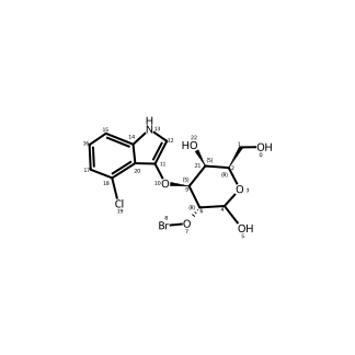 OC[C@H]1OC(O)[C@H](OBr)[C@@H](Oc2c[nH]c3cccc(Cl)c23)[C@H]1O